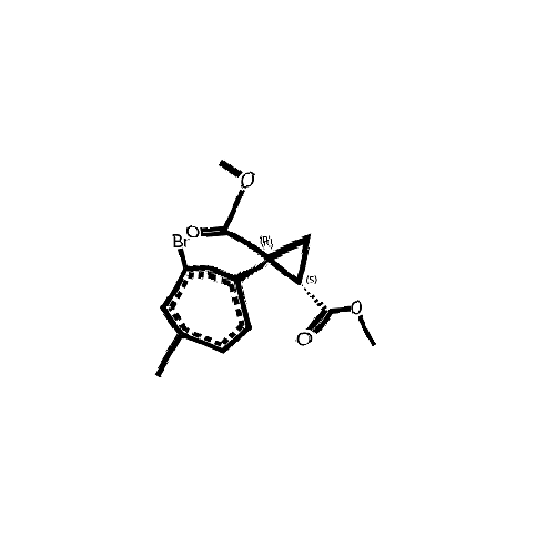 COC(=O)[C@H]1C[C@]1(C(=O)OC)c1ccc(C)cc1Br